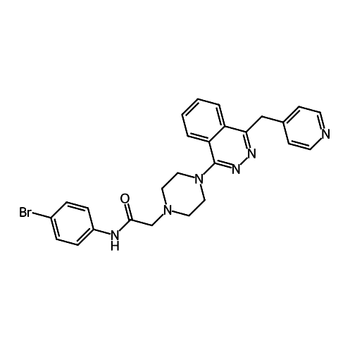 O=C(CN1CCN(c2nnc(Cc3ccncc3)c3ccccc23)CC1)Nc1ccc(Br)cc1